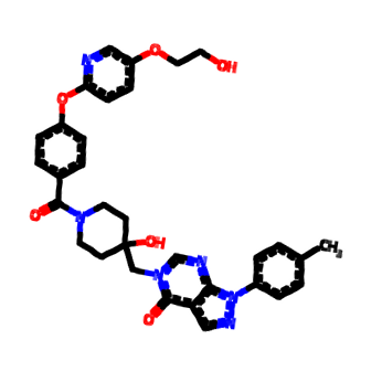 Cc1ccc(-n2ncc3c(=O)n(CC4(O)CCN(C(=O)c5ccc(Oc6ccc(OCCO)cn6)cc5)CC4)cnc32)cc1